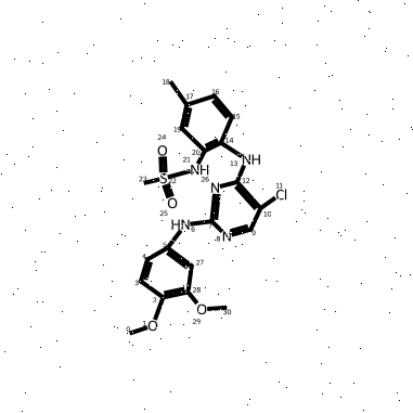 COc1ccc(Nc2ncc(Cl)c(Nc3ccc(C)cc3NS(C)(=O)=O)n2)cc1OC